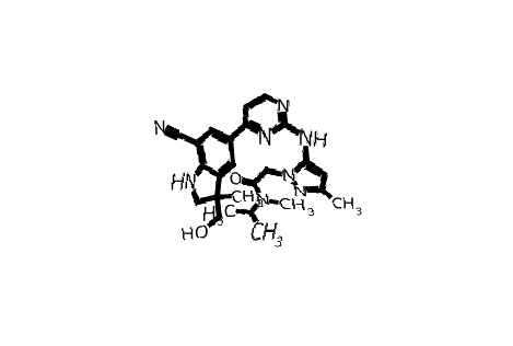 Cc1cc(Nc2nccc(-c3cc(C#N)c4c(c3)C(C)(CO)CN4)n2)n(CC(=O)N(C)C(C)C)n1